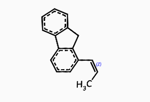 C/C=C\c1cccc2c1Cc1ccccc1-2